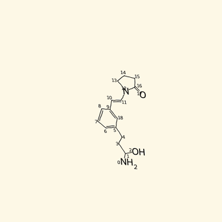 NC(O)CCc1cccc(C=CN2CCCC2=O)c1